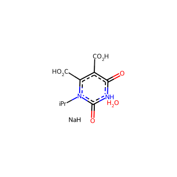 CC(C)n1c(C(=O)O)c(C(=O)O)c(=O)[nH]c1=O.O.[NaH]